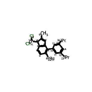 CC1=Cc2c(ccc(C(C)(C)C)c2-c2cc(C(C)C)cc(C(C)C)c2)[CH]1[Zr]([Cl])[Cl]